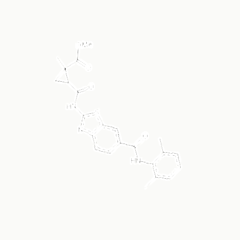 COC(=O)C1(C)CC1C(=O)Nc1nc2ccc(C(=O)Nc3c(C)cccc3C)cc2s1